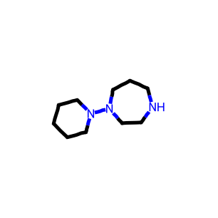 C1CCN(N2CCCNCC2)CC1